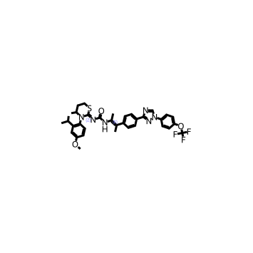 COc1ccc(N2/C(=N/C(=O)N/C(C)=C(\C)c3ccc(-c4ncn(-c5ccc(OC(F)(F)F)cc5)n4)cc3)SCCC2C)c(C(C)C)c1